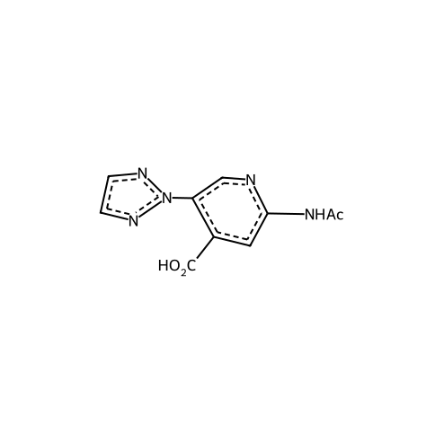 CC(=O)Nc1cc(C(=O)O)c(-n2nccn2)cn1